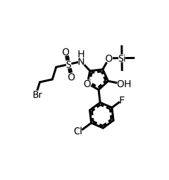 C[Si](C)(C)Oc1c(NS(=O)(=O)CCCBr)oc(-c2cc(Cl)ccc2F)c1O